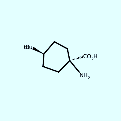 CC(C)(C)[C@H]1CC[C@](N)(C(=O)O)CC1